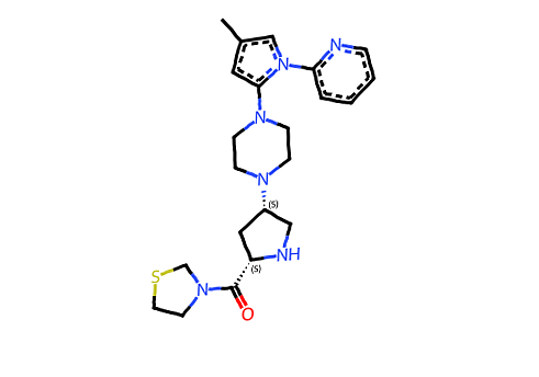 Cc1cc(N2CCN([C@@H]3CN[C@H](C(=O)N4CCSC4)C3)CC2)n(-c2ccccn2)c1